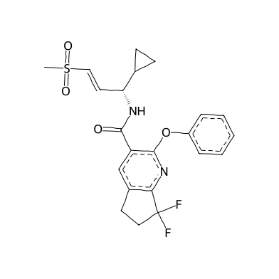 CS(=O)(=O)/C=C/[C@@H](NC(=O)c1cc2c(nc1Oc1ccccc1)C(F)(F)CC2)C1CC1